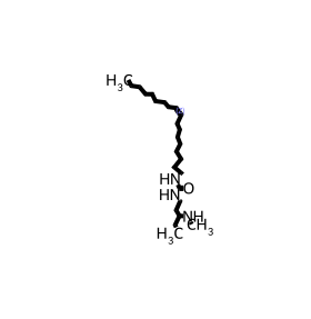 CCCCCCCC/C=C\CCCCCCCCNC(=O)NCCC(CC)NC